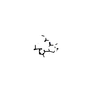 COC(=O)c1cc(Cl)c([C@]2(C)CS(=O)(=O)N(C)/C(=N/C(=O)OC(C)(C)C)N2)s1